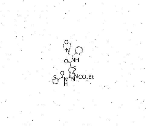 CCOC(=O)n1nc(NC(=O)c2cccs2)c2cc(C(=O)N[C@H](CN3CCOCC3)c3ccccc3)sc21